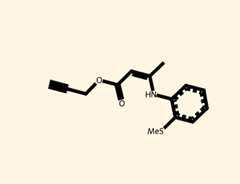 C#CCOC(=O)/C=C(/C)Nc1ccccc1SC